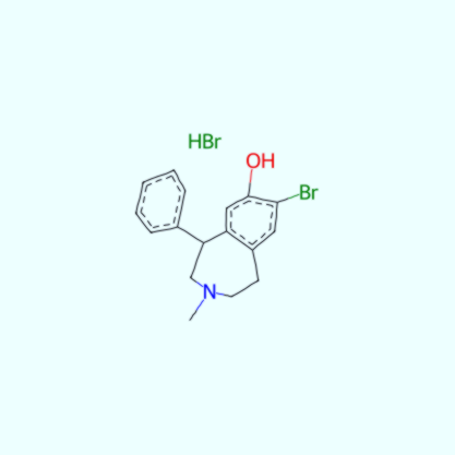 Br.CN1CCc2cc(Br)c(O)cc2C(c2ccccc2)C1